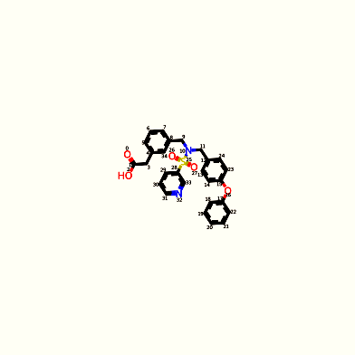 O=C(O)Cc1cccc(CN(Cc2ccc(Oc3ccccc3)cc2)S(=O)(=O)c2cccnc2)c1